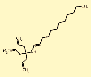 C=CCC(CC=C)(CC=C)N/C=C/CCCCCCCCCC